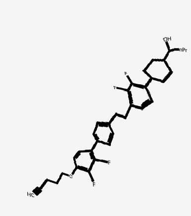 C#CCCCOc1ccc(-c2ccc(CCc3ccc(C4CCC(C(O)CCC)CC4)c(F)c3F)cc2)c(F)c1F